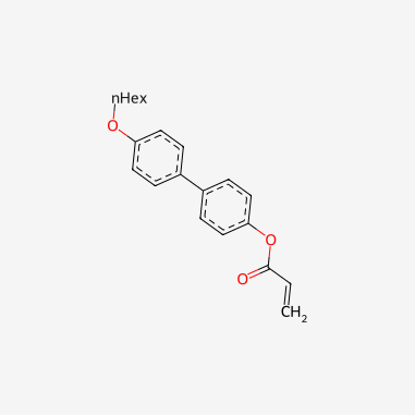 C=CC(=O)Oc1ccc(-c2ccc(OCCCCCC)cc2)cc1